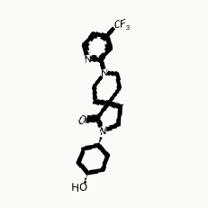 O=C1N([C@H]2CC[C@@H](O)CC2)CCC12CCN(c1cc(C(F)(F)F)ccn1)CC2